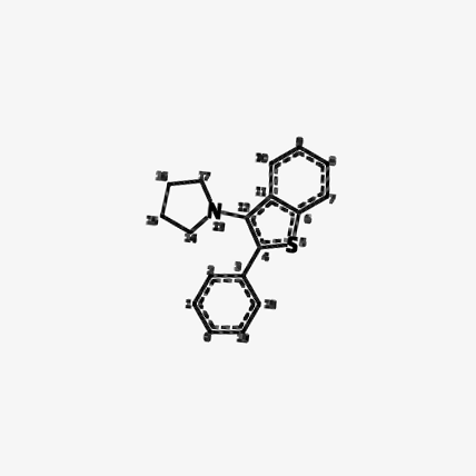 c1ccc(-c2sc3ccccc3c2N2CCCC2)cc1